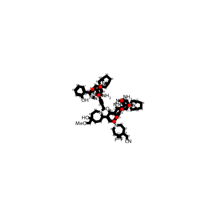 COCC1(O)CCC(c2cccc(-c3cc(N4CC5CCC(C4)N5c4ccnc(C#CCN5CCC(CC#N)C(F)(F)CC5)c4)c(N)nn3)c2O)N(CC#Cc2cc(N3C4CCC3CN(c3cc(-c5ccccc5O)nnc3N)C4)ccn2)CC1